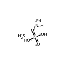 O=S(=O)(O)O.S.[NaH].[Pd]